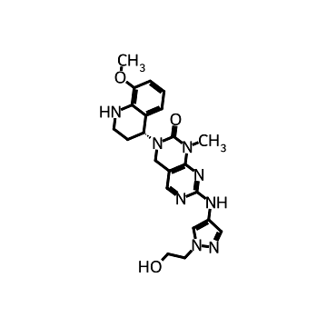 COc1cccc2c1NCC[C@H]2N1Cc2cnc(Nc3cnn(CCO)c3)nc2N(C)C1=O